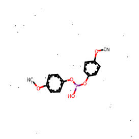 N#COc1ccc(OP(O)Oc2ccc(OC#N)cc2)cc1